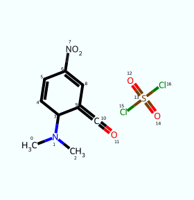 CN(C)C1C=CC([N+](=O)[O-])=CC1=C=O.O=S(=O)(Cl)Cl